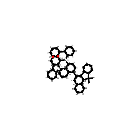 CC1(C)c2ccccc2-c2c(-c3ccc(N(c4ccccc4-c4ccccc4)c4cccc5c4oc4ccccc45)c4ccccc34)cc3ccccc3c21